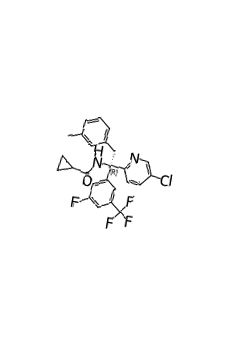 Cc1cccc(C[C@@](NC(=O)C2CC2)(c2cc(F)cc(C(F)(F)F)c2)c2ccc(Cl)cn2)c1